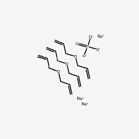 C=CCOCC=C.C=CCOCC=C.C=CCOCC=C.O=P([O-])([O-])[O-].[Na+].[Na+].[Na+]